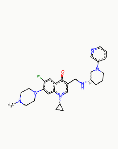 CN1CCN(c2cc3c(cc2F)c(=O)c(CN[C@H]2CCCN(c4cccnc4)C2)cn3C2CC2)CC1